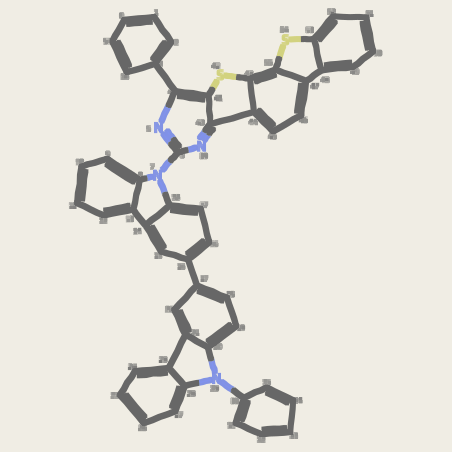 c1ccc(-c2nc(-n3c4ccccc4c4cc(-c5ccc6c(c5)c5ccccc5n6-c5ccccc5)ccc43)nc3c2sc2c3ccc3c4ccccc4sc32)cc1